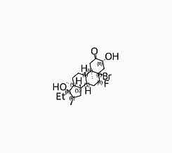 CC[C@@]1(O)[C@H](C)C[C@H]2[C@@H]3C[C@@H](F)[C@@]4(Br)C[C@@H](O)C(=O)C[C@]4(C)[C@H]3CC[C@@]21C